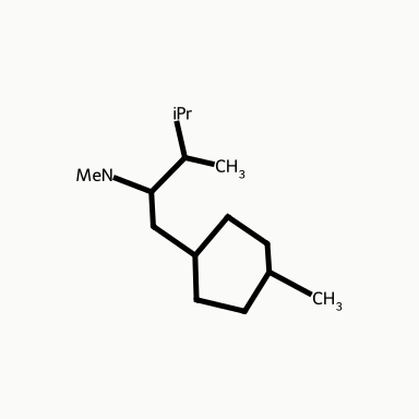 CNC(CC1CCC(C)CC1)C(C)C(C)C